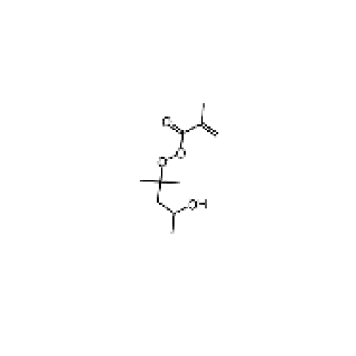 C=C(C)C(=O)OOC(C)(C)CC(C)O